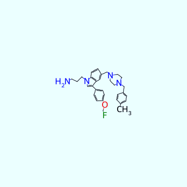 Cc1ccc(CN2CCN(Cc3ccc4c(c3)c(-c3ccc(OCF)cc3)cn4CCCN)CC2)cc1